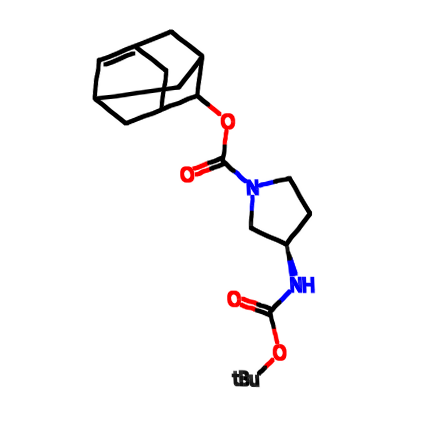 CC(C)(C)OC(=O)N[C@@H]1CCN(C(=O)OC2C3CC4=CC(C3)CC2C4)C1